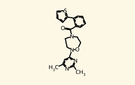 Cc1cc(N2CCN(C(=O)c3ccccc3-c3cccs3)CCO2)nc(C)n1